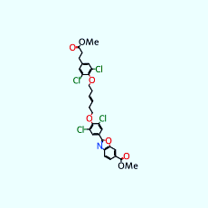 COC(=O)CCc1cc(Cl)c(OCC/C=C/CCOc2c(Cl)cc(-c3nc4ccc(C(=O)OC)cc4o3)cc2Cl)c(Cl)c1